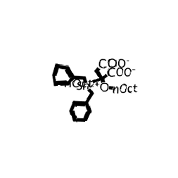 CCCCCCCCOC(CCCCCCCC)(CC(=O)[O-])C(=O)[O-].c1ccc([CH2][Sn+2][CH2]c2ccccc2)cc1